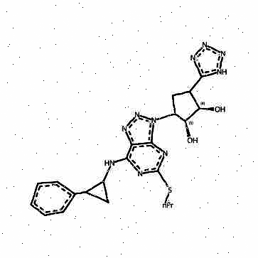 CCCSc1nc(NC2CC2c2ccccc2)c2nnn(C3CC(c4nnn[nH]4)[C@@H](O)[C@H]3O)c2n1